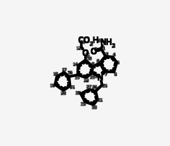 NC(=O)c1cccc2c1c1c(OCC(=O)O)cc(-c3ccccc3)cc1n2Cc1ccccc1